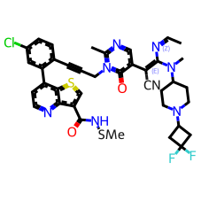 C/C=N\C(=C(\C#N)c1cnc(C)n(CC#Cc2ccc(Cl)cc2-c2ccnc3c(C(=O)NSC)csc23)c1=O)N(C)C1CCN(C2CC(F)(F)C2)CC1